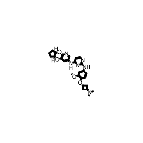 COc1cc(Nc2nccc(Nc3cnc4c(c3)O[C@H]3CCC[C@@H]3O4)n2)ccc1OC1CC(N(C)C)C1